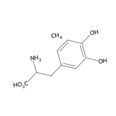 C.NC(Cc1ccc(O)c(O)c1)C(=O)O